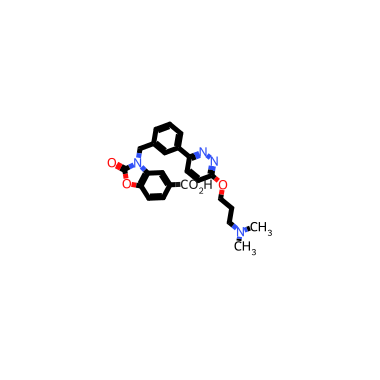 CN(C)CCCOc1ccc(-c2cccc(Cn3c(=O)oc4ccc(C(=O)O)cc43)c2)nn1